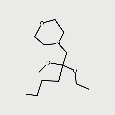 CCCCC([CH]N1CCOCC1)(OC)OCC